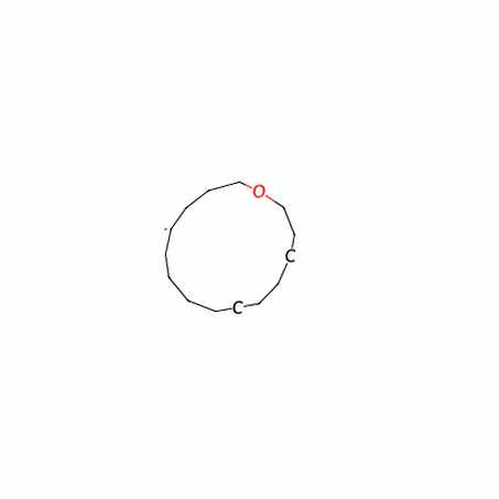 [CH]1CCCCCCCCCCOCCC1